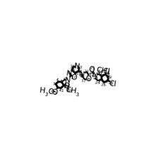 COc1ccc(CNc2nc3cncc(N4CCO[C@@H](C(=O)N5CCc6cc(Cl)cc(Cl)c6[C@@H]5C)C4)c3o2)c(OC)c1